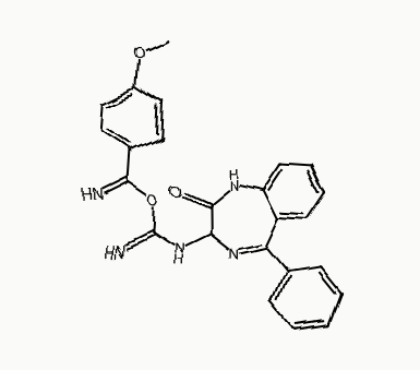 COc1ccc(C(=N)OC(=N)NC2N=C(c3ccccc3)c3ccccc3NC2=O)cc1